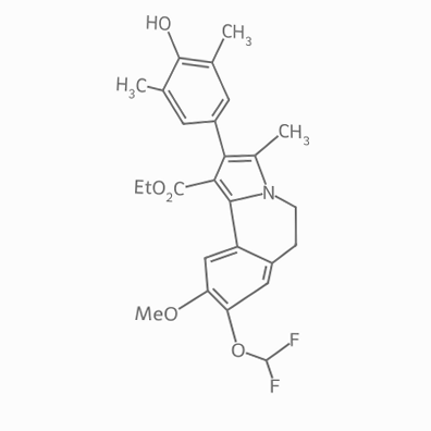 CCOC(=O)c1c(-c2cc(C)c(O)c(C)c2)c(C)n2c1-c1cc(OC)c(OC(F)F)cc1CC2